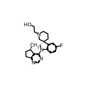 C[C@@H]1CCc2ncnc(N3C[C@]4(CCCN(CCO)C4)c4cc(F)ccc43)c21